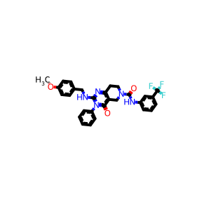 COc1ccc(CNc2nc3c(c(=O)n2-c2ccccc2)CN(C(=O)Nc2cccc(C(F)(F)F)c2)CC3)cc1